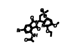 CCOc1nc(C(CS(C)(=O)=O)N2C(=O)c3cc(Br)cc(NC(C)=O)c3C2=O)ccc1OC